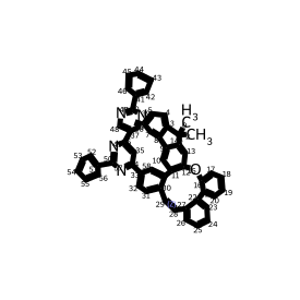 CC1(C)c2ccccc2-c2cc3c(cc21)Oc1ccccc1-c1ccccc1/C=C\c1ccc(-c2cc(-c4cnc(-c5ccccc5)nc4)nc(-c4ccccc4)n2)cc1-3